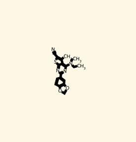 CCN(CC)c1nc(-c2ccc3c(c2)OCO3)nc2sc(C#N)c(C)c12